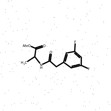 COC(=O)C(C)NC(=O)Cc1cc(F)cc(F)c1